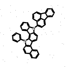 c1ccc(-n2c3ccc4ccccc4c3c3ccc4c(c5ccccc5n4-c4ccc5c6c(cccc46)-c4ccccc4-5)c32)cc1